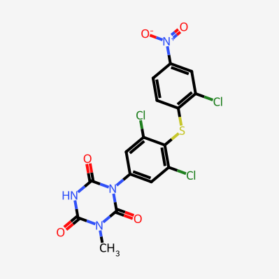 Cn1c(=O)[nH]c(=O)n(-c2cc(Cl)c(Sc3ccc([N+](=O)[O-])cc3Cl)c(Cl)c2)c1=O